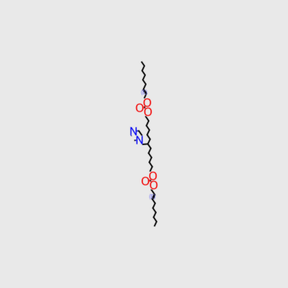 CCCCCC/C=C/COC(=O)OCCCCCCC(CCCCCCOC(=O)OC/C=C/CCCCCC)CN(C)CCN(C)C